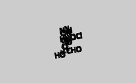 CC(C)(O)c1ccc(S(=O)(=O)Nc2ccc(Cl)cc2-n2nnc3ncccc32)cc1C=O